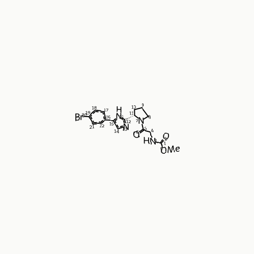 COC(=O)NCC(=O)N1CCC[C@H]1c1ncc(-c2ccc(Br)cc2)[nH]1